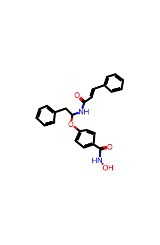 O=C(/C=C/c1ccccc1)NC(Cc1ccccc1)Oc1ccc(C(=O)NO)cc1